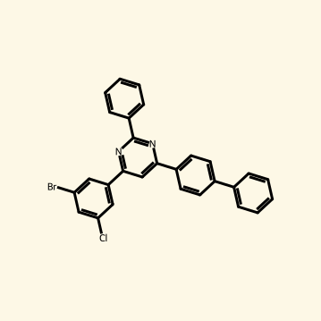 Clc1cc(Br)cc(-c2cc(-c3ccc(-c4ccccc4)cc3)nc(-c3ccccc3)n2)c1